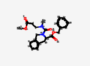 CCCCOC(=O)CCN(CC)C(=O)N1Cc2ccccc2CC1C(=O)OCc1ccccc1